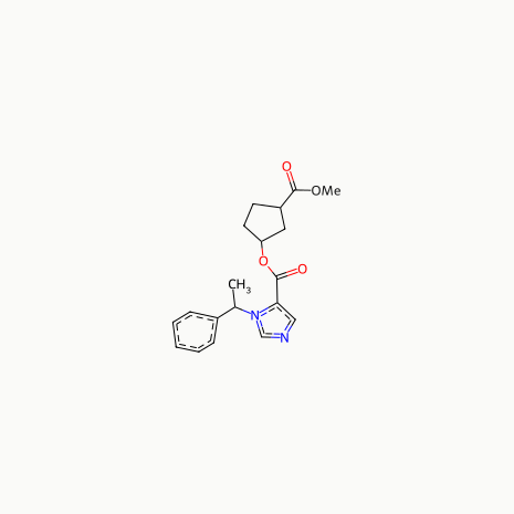 COC(=O)C1CCC(OC(=O)c2cncn2C(C)c2ccccc2)C1